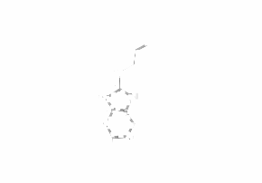 C=CCSc1nc2ncncc2[nH]1